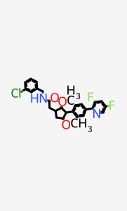 Cc1cc(-c2ncc(F)cc2F)cc(C)c1C1C(=O)CC(CC(=O)NCc2cccc(Cl)c2)C1=O